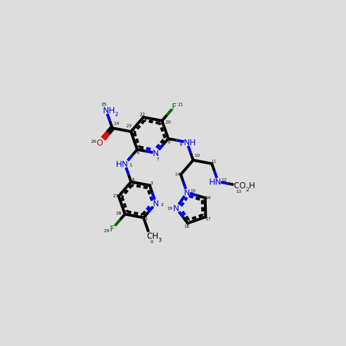 Cc1ncc(Nc2nc(NC(CNC(=O)O)Cn3cccn3)c(F)cc2C(N)=O)cc1F